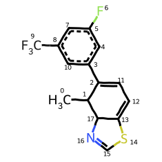 CC1C(c2cc(F)cc(C(F)(F)F)c2)=CC=C2SC=NC21